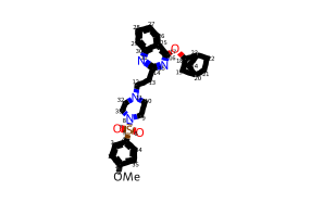 COc1ccc(S(=O)(=O)N2CCN(CCc3nc(OC4CC5CCC4C5)c4ccccc4n3)CC2)cc1